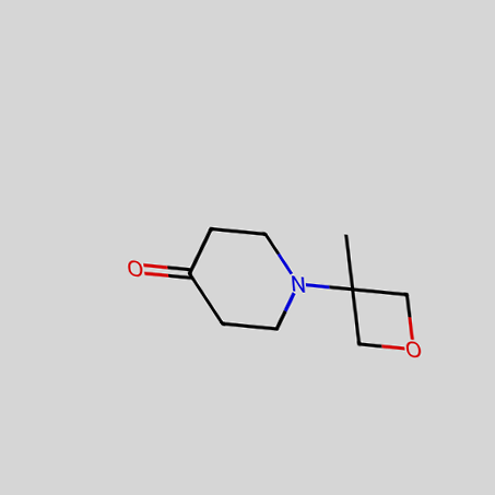 CC1(N2CCC(=O)CC2)COC1